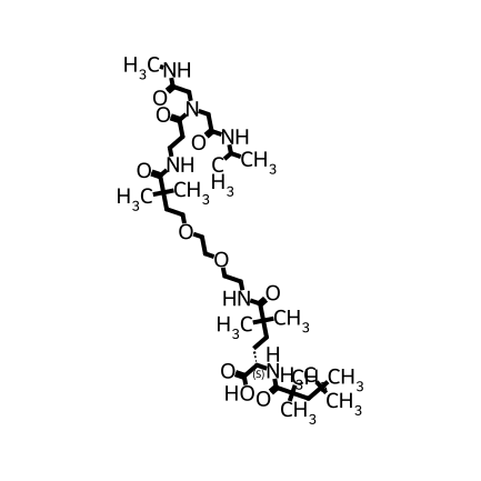 CNC(=O)CN(CC(=O)NC(C)C)C(=O)CCNC(=O)C(C)(C)CCOCCOCCNC(=O)C(C)(C)CC[C@H](NC(=O)C(C)(C)CC(C)(C)C)C(=O)O